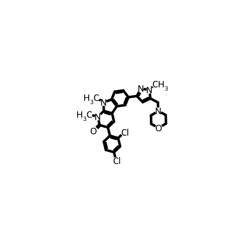 Cn1nc(-c2ccc3c(c2)c2cc(-c4ccc(Cl)cc4Cl)c(=O)n(C)c2n3C)cc1CN1CCOCC1